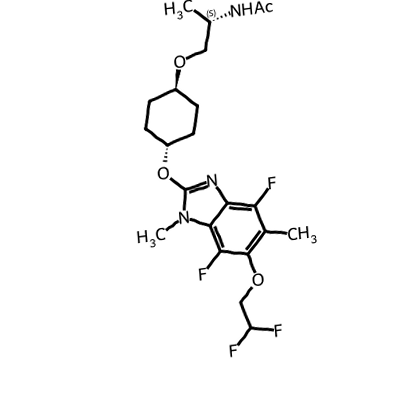 CC(=O)N[C@@H](C)CO[C@H]1CC[C@H](Oc2nc3c(F)c(C)c(OCC(F)F)c(F)c3n2C)CC1